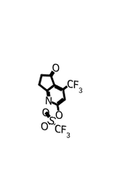 O=C1CCc2nc(OS(=O)(=O)C(F)(F)F)cc(C(F)(F)F)c21